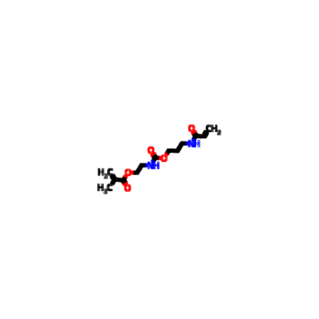 C=CC(=O)NCCCOC(=O)NCCOC(=O)C(=C)C